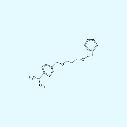 CC(C)c1ccc(COCCCOC2Cc3ccccc32)cc1